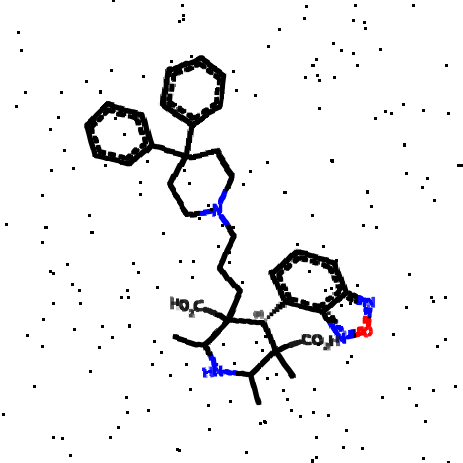 CC1NC(C)C(CCCN2CCC(c3ccccc3)(c3ccccc3)CC2)(C(=O)O)[C@H](c2cccc3nonc23)C1(C)C(=O)O